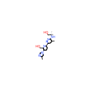 Cc1cn(-c2ccc(-c3cc(C)c(N[C@@H](C)CO)nn3)nc2CO)cn1